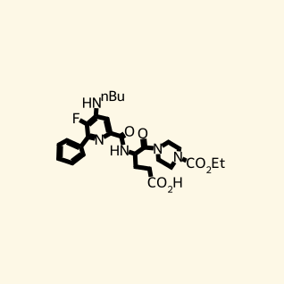 CCCCNc1cc(C(=O)NC(CCC(=O)O)C(=O)N2CCN(C(=O)OCC)CC2)nc(-c2ccccc2)c1F